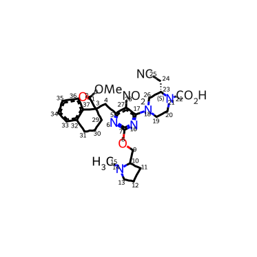 COC(=O)C1(Cc2nc(OCC3CCCN3C)nc(N3CCN(C(=O)O)[C@@H](CC#N)C3)c2[N+](=O)[O-])CCCc2ccccc21